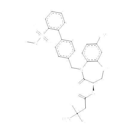 CCNS(=O)(=O)c1ccccc1-c1ccc(CN2C(=O)[C@H](NC(=O)CC(C)(C)N)CSc3cc(SC)ccc32)cc1